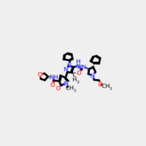 COCCN1C[C@@H](NC(=O)Nc2c(C)c(-c3cc(C(=O)N[C@@H]4CCOC4)c(=O)n(C)c3)nn2-c2ccccc2)[C@H](c2ccccc2)C1